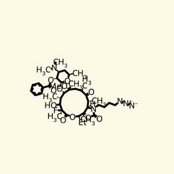 CC[C@H]1OC(=O)[C@@](C)(F)C(O)[C@H](C)[C@@H](O[C@@H]2O[C@H](C)C[C@H](N(C)C)[C@H]2OC(=O)c2ccccc2)[C@@](C)(OC)C[C@@H](C)C(=O)[C@H](C)[C@H]2N(CCCCN=[N+]=[N-])C(=O)O[C@]12C